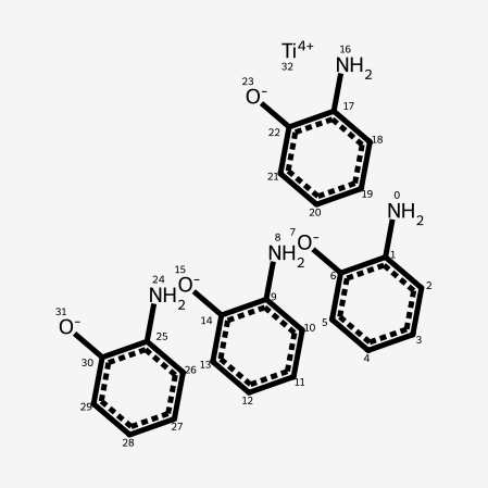 Nc1ccccc1[O-].Nc1ccccc1[O-].Nc1ccccc1[O-].Nc1ccccc1[O-].[Ti+4]